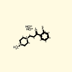 CN1CCN(CCC(=O)c2ccccc2F)CC1.Cl.Cl